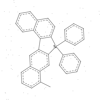 Cc1cccc2cc3c(cc12)[Si](c1ccccc1)(c1ccccc1)c1ccc2ccccc2c1-3